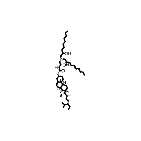 CCCCCCCCC(O)CN(CCNC(=O)O[C@H]1CC[C@@]2(C)C(=CC[C@H]3[C@H](C)[C@@](C)([C@H](CC)[C@H](C)CC[C@@H](CC)C(C)C)CC[C@@H]32)C1)CC(O)CCCCCCCC